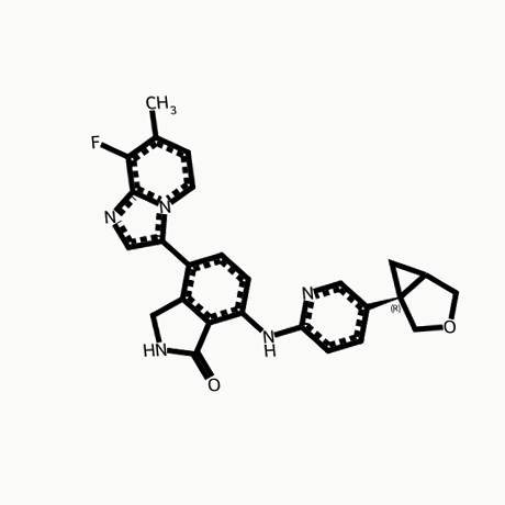 Cc1ccn2c(-c3ccc(Nc4ccc([C@]56COCC5C6)cn4)c4c3CNC4=O)cnc2c1F